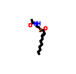 CCCCCCC/C=C/C(=O)SCCNC(C)=O